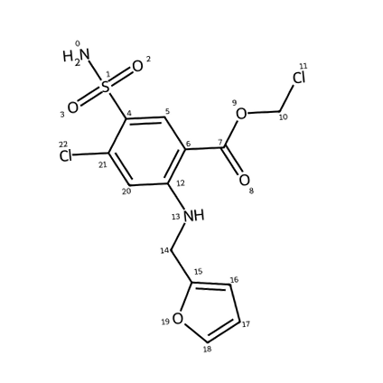 NS(=O)(=O)c1cc(C(=O)OCCl)c(NCc2ccco2)cc1Cl